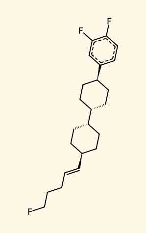 FCCCC=C[C@H]1CC[C@H]([C@H]2CC[C@H](c3ccc(F)c(F)c3)CC2)CC1